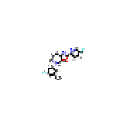 N#Cc1cc(F)cc(N2CCCc3nc(-c4ccc(F)cn4)oc3C2)c1